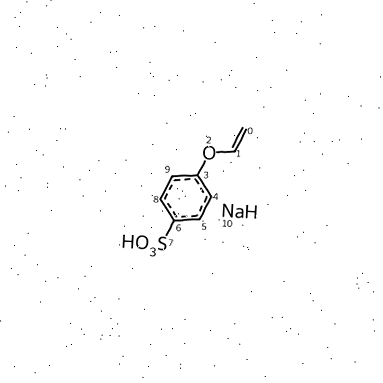 C=COc1ccc(S(=O)(=O)O)cc1.[NaH]